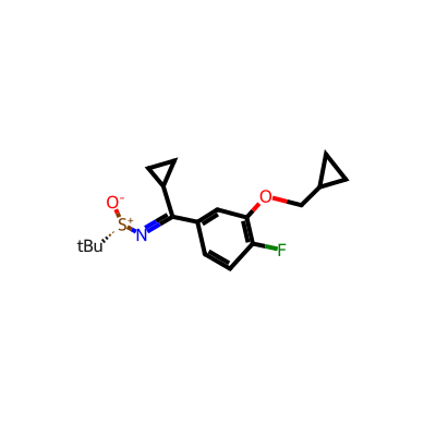 CC(C)(C)[S@+]([O-])N=C(c1ccc(F)c(OCC2CC2)c1)C1CC1